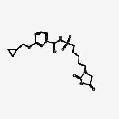 CCC(NS(=O)(=O)CCCCCN1CC(=O)NC1=O)c1cccc(OCC2CC2)c1